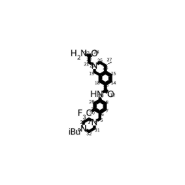 CCC(C)N1CCN(Cc2ccc(NC(=O)c3ccc4c(c3)CN(CC(N)=O)C[C@@H]4C)cc2C(F)(F)F)CC1